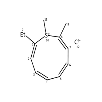 CCc1ccccccc(C)[s+]1C.[Cl-]